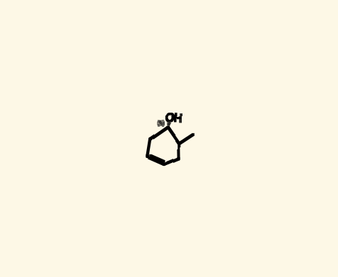 CC1CC=CC[C@@H]1O